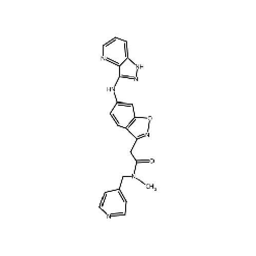 CN(Cc1ccncc1)C(=O)Cc1noc2cc(Nc3n[nH]c4cccnc34)ccc12